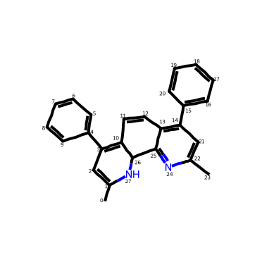 CC1=CC(c2ccccc2)=C2C=Cc3c(-c4ccccc4)cc(C)nc3C2N1